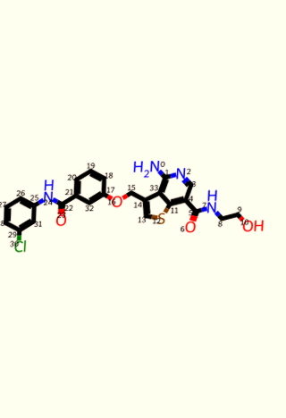 Nc1ncc(C(=O)NCCO)c2scc(COc3cccc(C(=O)Nc4cccc(Cl)c4)c3)c12